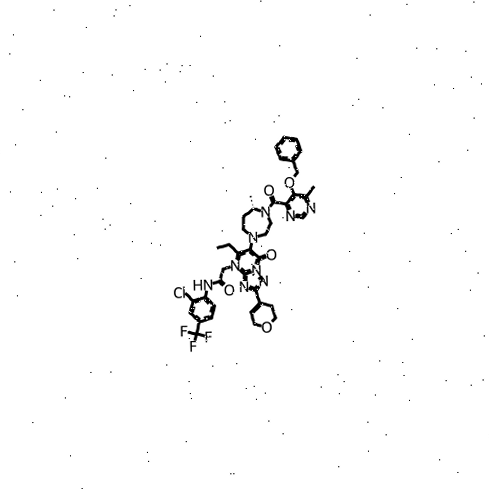 CCc1c(N2CC[C@H](C)N(C(=O)c3ncnc(C)c3OCc3ccccc3)CC2)c(=O)n2nc(C3=CCOCC3)nc2n1CC(=O)Nc1ccc(C(F)(F)F)cc1Cl